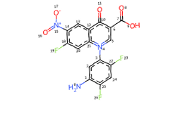 Nc1cc(-n2cc(C(=O)O)c(=O)c3cc([N+](=O)[O-])c(F)cc32)c(F)cc1F